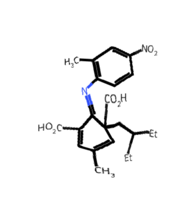 CCC(CC)CC1(C(=O)O)C=C(C)C=C(C(=O)O)C1=Nc1ccc([N+](=O)[O-])cc1C